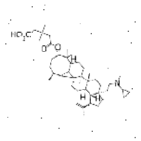 C=C(C)[C@@H]1CC[C@]2(CCN(C)C3CC3)CC[C@]3(C)[C@H](CC[C@@]45C6C4[C@@H](C)CC[C@H](OC(=O)CC(C)(C)CC(=O)O)C(C)(C)[C@@H]6CC[C@]53C)[C@@H]12